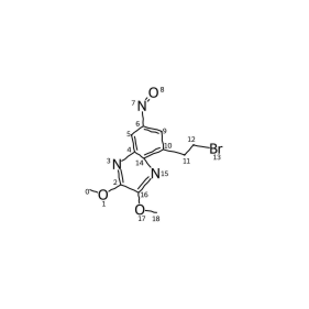 COc1nc2cc(N=O)cc(CCBr)c2nc1OC